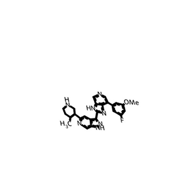 COc1cc(F)cc(-c2cncc3[nH]c(-c4n[nH]c5cnc(C6CNCCC6C)cc45)nc23)c1